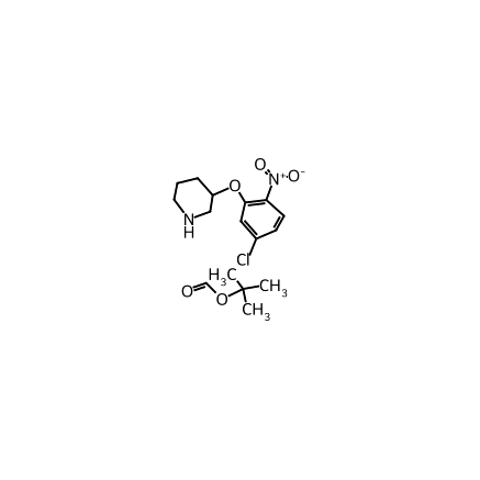 CC(C)(C)OC=O.O=[N+]([O-])c1ccc(Cl)cc1OC1CCCNC1